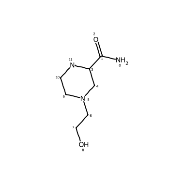 NC(=O)C1CN(CCO)CC[N]1